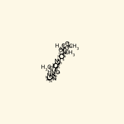 COc1cc2nn([C@H]3CC[C@H](N(C)C(=O)[C@@H](C)OC(C)=O)CC3)cc2cc1C(=O)Nc1cnc2cccnn12